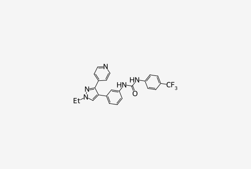 CCn1cc(-c2cccc(NC(=O)Nc3ccc(C(F)(F)F)cc3)c2)c(-c2ccncc2)n1